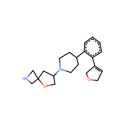 C1=C(c2ccccc2C2CCN(C3COC4(CNC4)C3)CC2)COC1